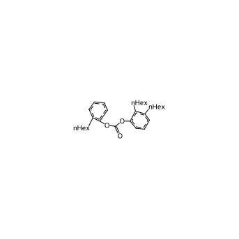 CCCCCCc1ccccc1OC(=O)Oc1cccc(CCCCCC)c1CCCCCC